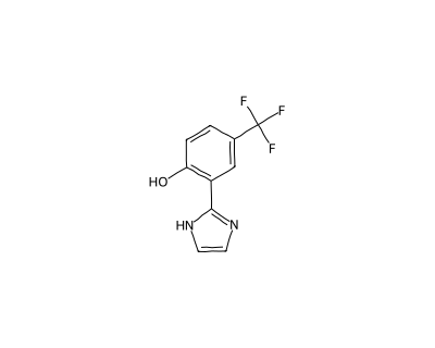 Oc1ccc(C(F)(F)F)cc1-c1ncc[nH]1